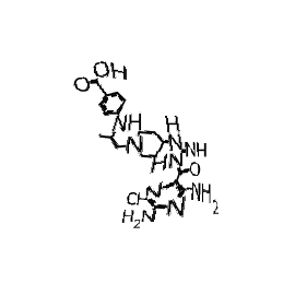 CC(CN1CCC(NC(=N)NC(=O)c2nc(Cl)c(N)nc2N)CC1)Nc1ccc(C(=O)O)cc1